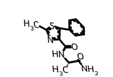 Cc1nc(C(=O)N[C@@H](C)C(N)=O)c(-c2ccccc2)s1